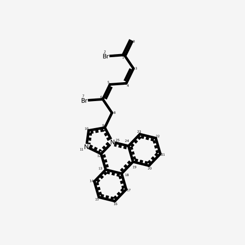 C=C(Br)/C=C\C=C(\Br)Cc1cnc2c3ccccc3c3ccccc3n12